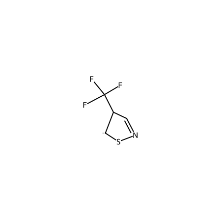 FC(F)(F)C1[CH]SN=C1